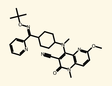 COc1ccc2c(n1)c(N(C)C1CCC(/C(=N/OC(C)(C)C)c3ccccn3)CC1)c(C#N)c(=O)n2C